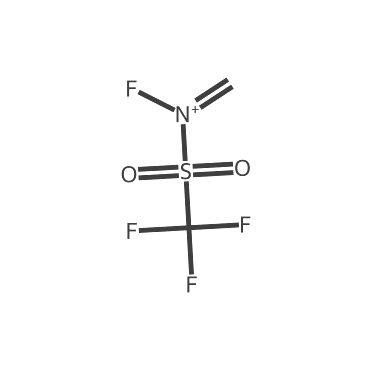 C=[N+](F)S(=O)(=O)C(F)(F)F